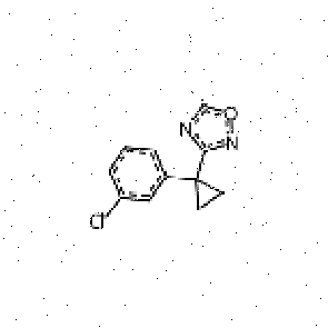 Clc1cccc(C2(c3n[c]on3)CC2)c1